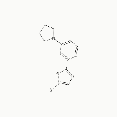 Brc1cnc(-c2cccc(N3CCCC3)c2)s1